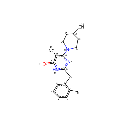 Cc1ccccc1Cc1nc(N2CCC(C#N)CC2)c(C#N)c(=O)[nH]1